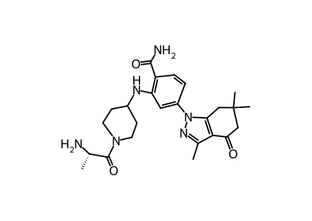 Cc1nn(-c2ccc(C(N)=O)c(NC3CCN(C(=O)[C@H](C)N)CC3)c2)c2c1C(=O)CC(C)(C)C2